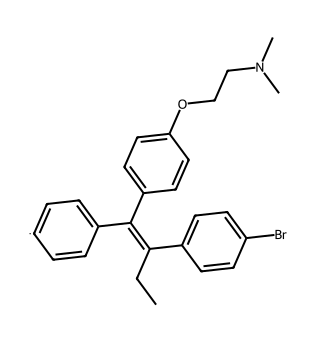 CC/C(=C(\c1cc[c]cc1)c1ccc(OCCN(C)C)cc1)c1ccc(Br)cc1